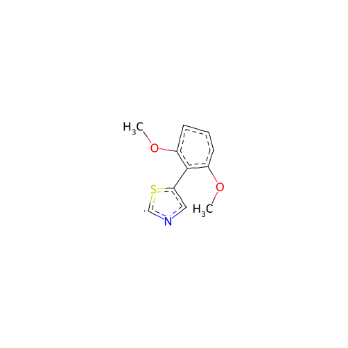 COc1cccc(OC)c1-c1cn[c]s1